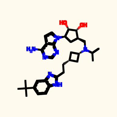 CC(C)N(C[C@H]1C[C@@H](n2ccc3c(N)ncnc32)[C@H](O)[C@@H]1O)[C@H]1C[C@@H](CCc2nc3cc(C(C)(C)C)ccc3[nH]2)C1